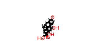 C[C@]12CCC(=O)C=C1CC[C@@H]1[C@@H]2[C@@H](O)C[C@@]2(C)[C@H]1CC[C@]2(O)C(=O)CO.[H+]